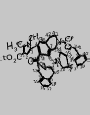 CCOC(=O)c1cc(-c2cc3c(cc2C(=O)N2Cc4ccccc4C[C@H]2CN2CC[C@@H](F)C2)CN(C(=O)OCc2ccccc2)CC3)n(C)c1C